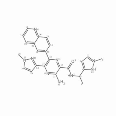 Cc1ccc(C(C)NC(=O)c2nc(-c3ccc4ncccc4c3)c(-c3ccn(C)n3)nc2N)[nH]1